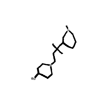 CN1CCCC(C(C)(C)CCN2CCC(C(C)(C)C)CC2)C1